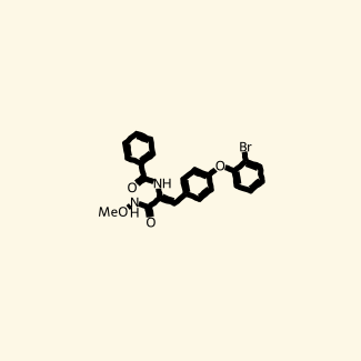 CONC(=O)C(=Cc1ccc(Oc2ccccc2Br)cc1)NC(=O)c1ccccc1